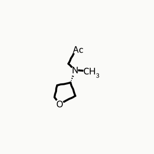 CC(=O)CN(C)[C@H]1CCOC1